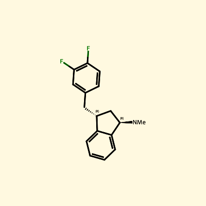 CN[C@@H]1C[C@@H](Cc2ccc(F)c(F)c2)c2ccccc21